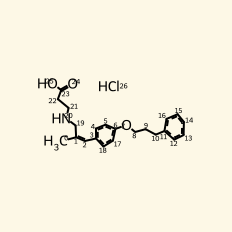 CC(=Cc1ccc(OCCCc2ccccc2)cc1)CNCCC(=O)O.Cl